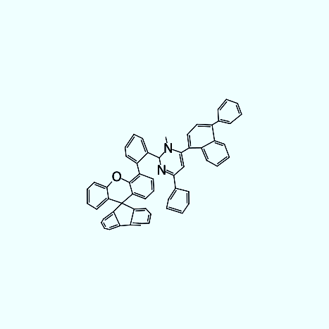 CN1C(c2ccc(-c3ccccc3)c3ccccc23)=CC(c2ccccc2)=NC1c1ccccc1-c1cccc2c1Oc1ccccc1C21c2ccccc2-c2ccccc21